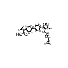 Cc1noc(-c2ccc(-c3ccc(C4(C(=O)O)CC4)cc3)cc2)c1CCOCC1CC1